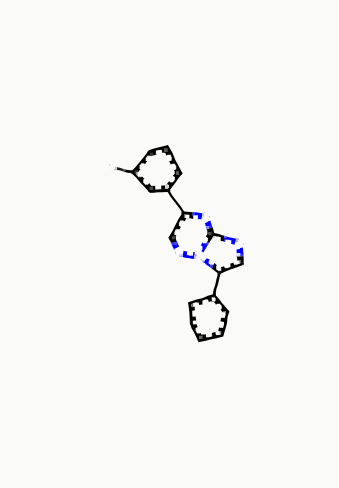 O=[N+]([O-])c1cccc(-c2cnn3c(-c4ccccc4)cnc3n2)c1